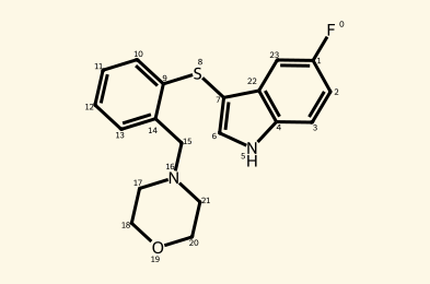 Fc1ccc2[nH]cc(Sc3ccccc3CN3CCOCC3)c2c1